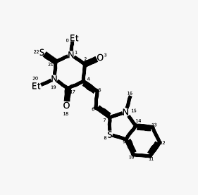 CCN1C(=O)C(=CC=C2Sc3ccccc3N2C)C(=O)N(CC)C1=S